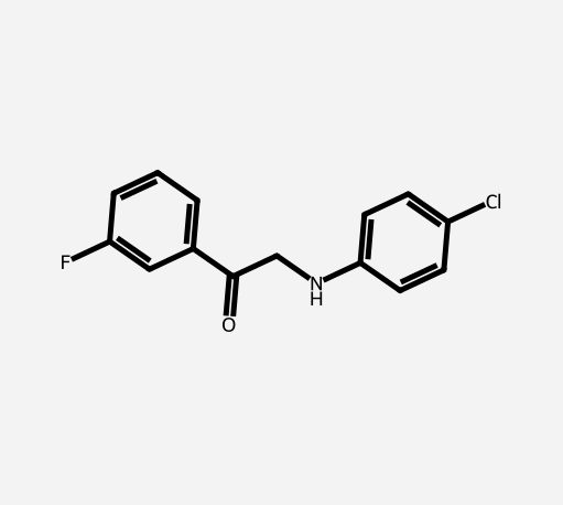 O=C(CNc1ccc(Cl)cc1)c1cccc(F)c1